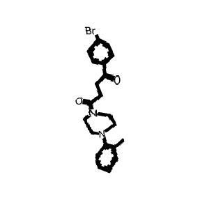 Cc1ccccc1N1CCN(C(=O)CCC(=O)c2ccc(Br)cc2)CC1